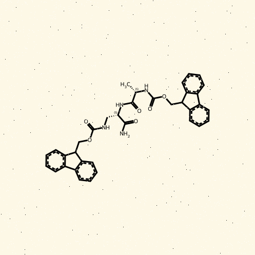 C[C@H](NC(=O)OCC1c2ccccc2-c2ccccc21)C(=O)N[C@@H](CNC(=O)OCC1c2ccccc2-c2ccccc21)C(N)=O